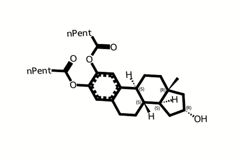 CCCCCC(=O)Oc1cc2c(cc1OC(=O)CCCCC)[C@H]1CC[C@]3(C)C[C@H](O)C[C@H]3[C@@H]1CC2